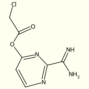 N=C(N)c1nccc(OC(=O)CCl)n1